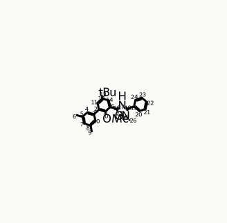 COc1c(-c2cc(C)cc(C)c2)cc(C(C)(C)C)cc1C1NC(c2ccccc2)N(C)O1